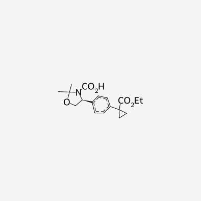 CCOC(=O)C1(c2ccc([C@H]3COC(C)(C)N3C(=O)O)cc2)CC1